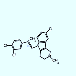 C/C(=C\n1c2c(c3cc(Cl)ccc31)CN(C)CC2)c1ccc(Cl)c(Cl)c1